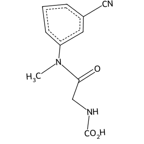 CN(C(=O)CNC(=O)O)c1cccc(C#N)c1